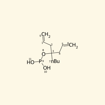 C=CCC(CC=C)(CCCC)OP(O)O